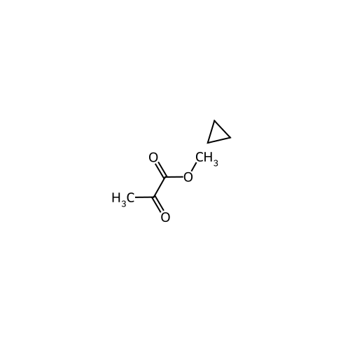 C1CC1.COC(=O)C(C)=O